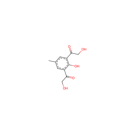 Cc1cc(C(=O)CO)c(O)c(C(=O)CO)c1